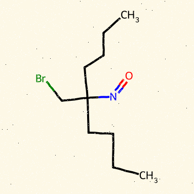 CCCCC(CBr)(CCCC)N=O